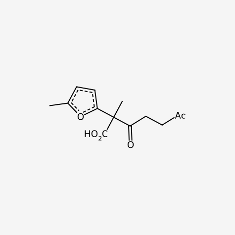 CC(=O)CCC(=O)C(C)(C(=O)O)c1ccc(C)o1